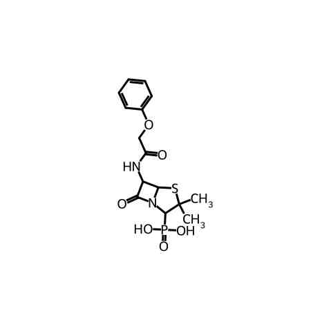 CC1(C)SC2C(NC(=O)COc3ccccc3)C(=O)N2C1P(=O)(O)O